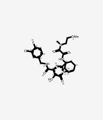 COCCN(C)C(=O)C(=O)NC12CCC(CC1)Cn1c2nc(C(=O)NCc2ccc(F)c(Cl)c2)c(O)c1=O